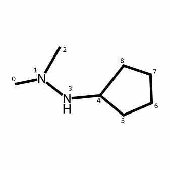 CN(C)NC1CCCC1